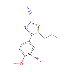 COc1ccc(-c2nc(C#N)sc2CC(C)C)cc1P